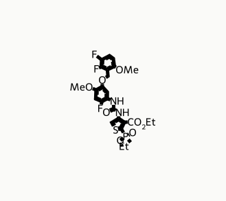 CCOC(=O)c1c(NC(=O)Nc2cc(OCc3c(OC)ccc(F)c3F)c(OC)cc2F)csc1P(C)(=O)OCC